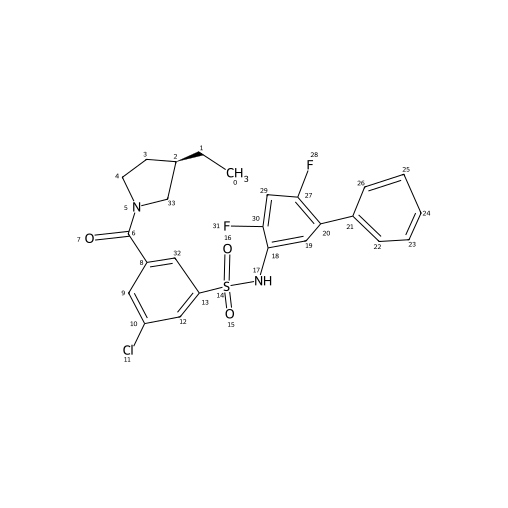 CC[C@@H]1CCN(C(=O)c2cc(Cl)cc(S(=O)(=O)Nc3cc(-c4ccccc4)c(F)cc3F)c2)C1